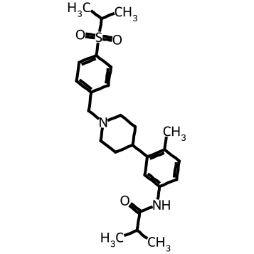 Cc1ccc(NC(=O)C(C)C)cc1C1CCN(Cc2ccc(S(=O)(=O)C(C)C)cc2)CC1